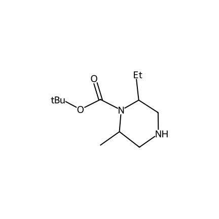 CCC1CNCC(C)N1C(=O)OC(C)(C)C